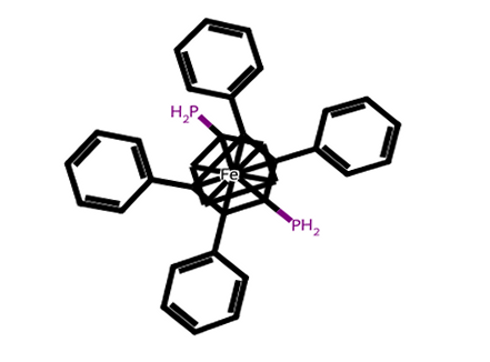 P[C]12[CH]3[CH]4[CH]5[CH]1[Fe]45321678[C]2(P)[C]1(c1ccccc1)[C]6(c1ccccc1)[C]7(c1ccccc1)[C]28c1ccccc1